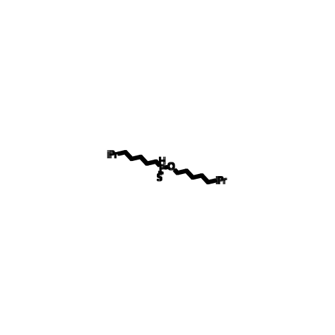 CC(C)CCCCCO[PH](=S)CCCCCC(C)C